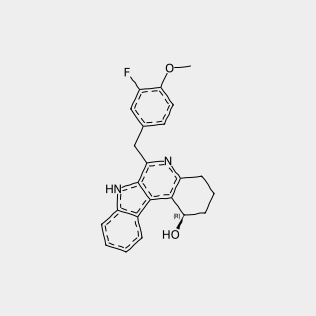 COc1ccc(Cc2nc3c(c4c2[nH]c2ccccc24)[C@H](O)CCC3)cc1F